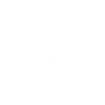 COC(=O)CCCC(=O)N1C[C@@H](O)[C@H]2OC(C)(C)O[C@H]2C1